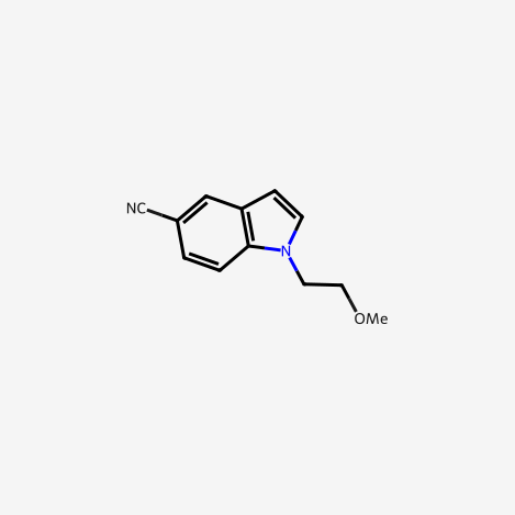 COCCn1ccc2cc(C#N)ccc21